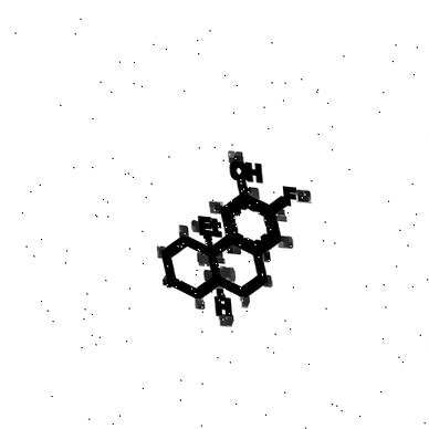 CC[C@@]12CCCC[C@@H]1CCc1cc(F)c(O)cc12